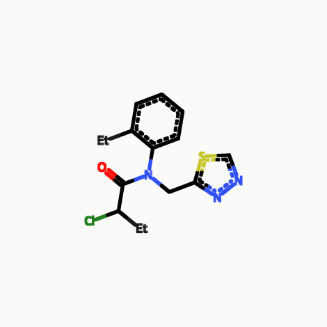 CCc1ccccc1N(Cc1nncs1)C(=O)C(Cl)CC